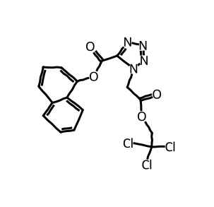 O=C(Cn1nnnc1C(=O)Oc1cccc2ccccc12)OCC(Cl)(Cl)Cl